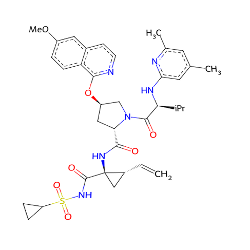 C=C[C@@H]1C[C@]1(NC(=O)[C@@H]1C[C@@H](Oc2nccc3cc(OC)ccc23)CN1C(=O)[C@@H](Nc1cc(C)cc(C)n1)C(C)C)C(=O)NS(=O)(=O)C1CC1